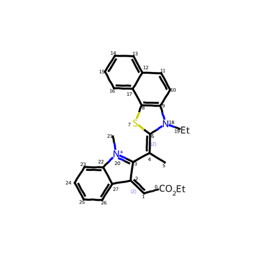 CCOC(=O)/C=C1\C(/C(C)=C2\Sc3c(ccc4ccccc34)N2CC)=[N+](C)c2ccccc21